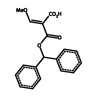 COC=C(C(=O)O)C(=O)OC(c1ccccc1)c1ccccc1